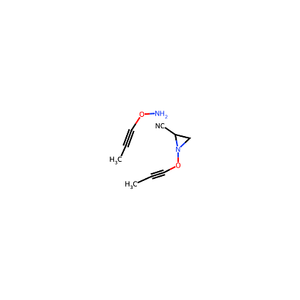 CC#CON.CC#CON1CC1C#N